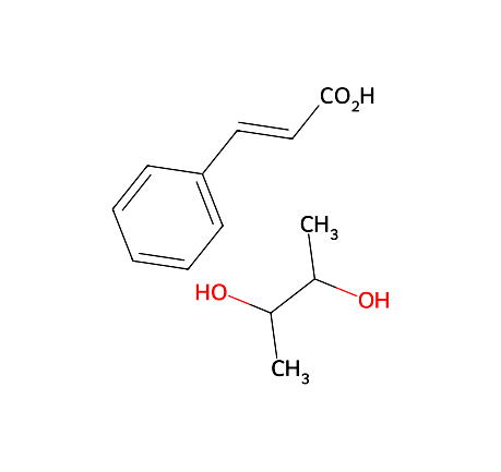 CC(O)C(C)O.O=C(O)C=Cc1ccccc1